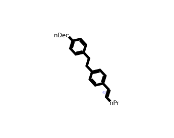 CCC/C=C/c1ccc(CCc2ccc(CCCCCCCCCC)cc2)cc1